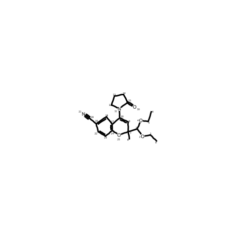 CCOC(OCC)C1(C)C=C(N2CCCC2=O)c2cc(C#N)ccc2O1